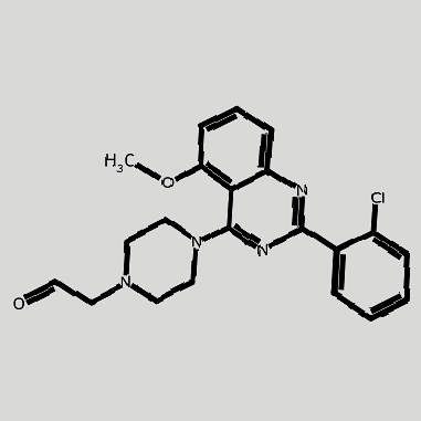 COc1cccc2nc(-c3ccccc3Cl)nc(N3CCN(CC=O)CC3)c12